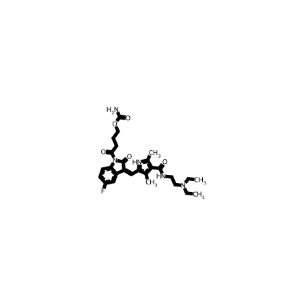 CCN(CC)CCNC(=O)c1c(C)[nH]c(C=C2C(=O)N(C(=O)CCCOC(N)=O)c3ccc(F)cc32)c1C